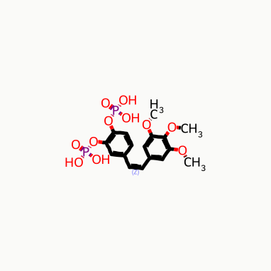 COc1cc(/C=C\c2ccc(OP(=O)(O)O)c(OP(=O)(O)O)c2)cc(OC)c1OC